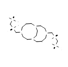 O=P(O)(O)CP(=O)(O)CN1CCCN2CCN(CCCN(CP(=O)(O)CP(=O)(O)O)CC2)CC1